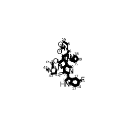 C[C@H](Oc1nc2c(F)c(-c3c[nH]c4ccc(F)cc34)ncc2c2c1cc(CN1CCOC1=O)n2C1C2CNC1C2)[C@@H]1CCCN1C